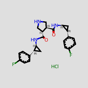 Cl.O=C(N[C@H]1C[C@@H]1c1ccc(F)cc1)[C@@H]1CNC[C@H]1C(=O)N[C@H]1C[C@@H]1c1ccc(F)cc1